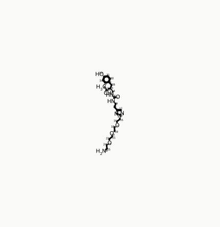 CN(C)[C@H](CNC(=O)NCCc1cnn(CCOCCOCCOCCN)n1)Cc1ccc(O)cc1